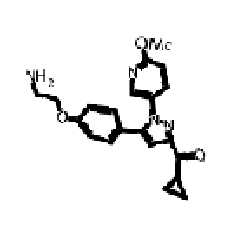 COc1ccc(-n2nc(C(=O)C3CC3)cc2-c2ccc(OCCN)cc2)cn1